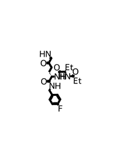 CCC(=O)N[C@@H](CC)C(=O)N[C@@H](CCC(=O)C=N)C(=O)NCc1ccc(F)cc1